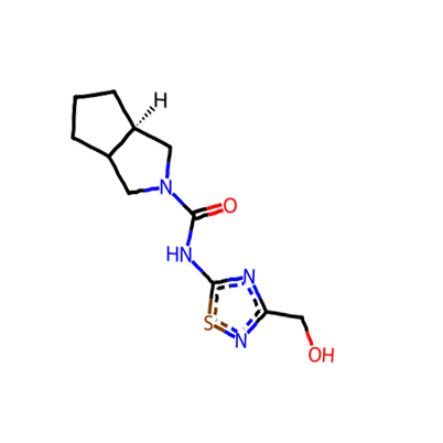 O=C(Nc1nc(CO)ns1)N1CC2CCC[C@H]2C1